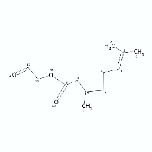 CC(C)=CCCC(C)CC(=O)OCC=O